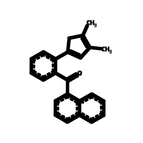 CC1=C(C)CC(c2ccccc2C(=O)c2cccc3ccccc23)=C1